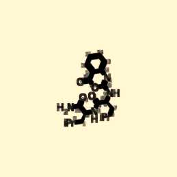 CC(C)C[C@H](NC(=O)[C@H](CC(C)C)Nc1nc2ccccc2c(=O)o1)C(N)=O